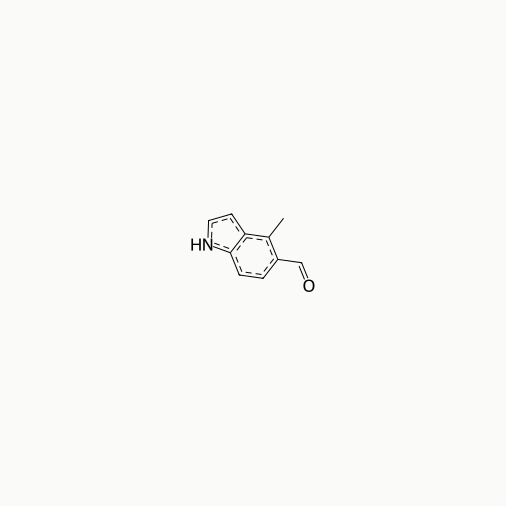 Cc1c(C=O)ccc2[nH]ccc12